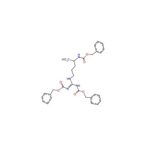 O=C(/N=C(\NCCCC(NC(=O)OCc1ccccc1)C(=O)O)NC(=O)OCc1ccccc1)OCc1ccccc1